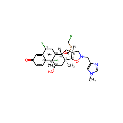 Cn1cnc(CN2C[C@@H]3C[C@H]4[C@@H]5C[C@H](F)C6=CC(=O)C=C[C@]6(C)[C@@]5(F)[C@@H](O)C[C@]4(C)[C@]3(C(=O)SCF)O2)c1